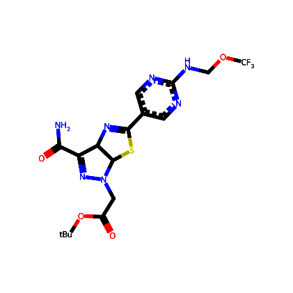 CC(C)(C)OC(=O)CN1N=C(C(N)=O)C2N=C(c3cnc(NCOC(F)(F)F)nc3)SC21